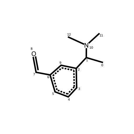 CC(c1cccc(C=O)c1)N(C)C